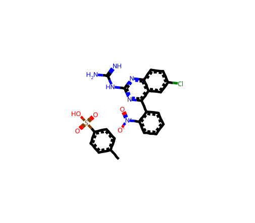 Cc1ccc(S(=O)(=O)O)cc1.N=C(N)Nc1nc(-c2ccccc2[N+](=O)[O-])c2cc(Cl)ccc2n1